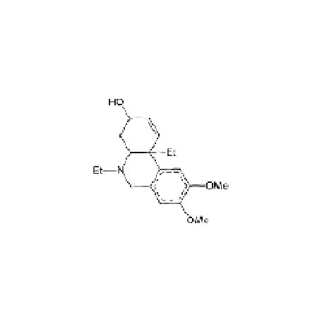 CCN1Cc2cc(OC)c(OC)cc2C2(CC)C=CC(O)CC12